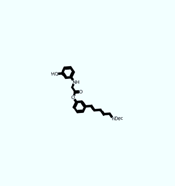 CCCCCCCCCCCCCCCc1cccc(OC(=O)CNc2cccc(O)c2)c1